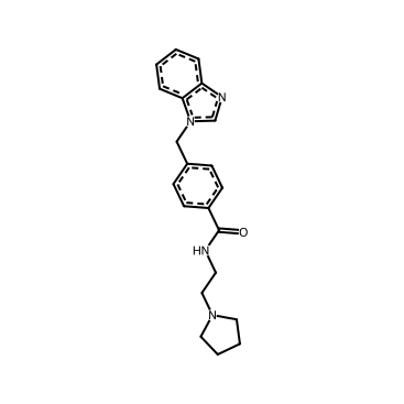 O=C(NCCN1CCCC1)c1ccc(Cn2cnc3ccccc32)cc1